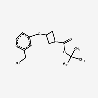 CC(C)(C)OC(=O)N1CC(Oc2ccnc(CO)c2)C1